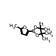 CCC1(C)OB(c2ccc(C)o2)OC1(C)C